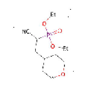 CCOP(=O)(OCC)C(C#N)CC1CCOCC1